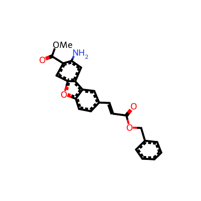 COC(=O)c1cc2oc3ccc(/C=C/C(=O)OCc4ccccc4)cc3c2cc1N